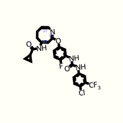 O=C(Nc1ccc(Cl)c(C(F)(F)F)c1)Nc1cc(OC2=N/C=C\CC/C(NC(=O)C3CC3)=C\2)ccc1F